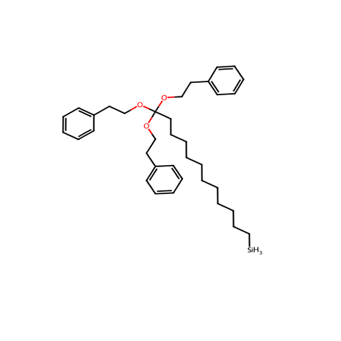 [SiH3]CCCCCCCCCCCC(OCCc1ccccc1)(OCCc1ccccc1)OCCc1ccccc1